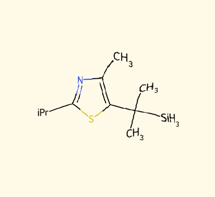 Cc1nc(C(C)C)sc1C(C)(C)[SiH3]